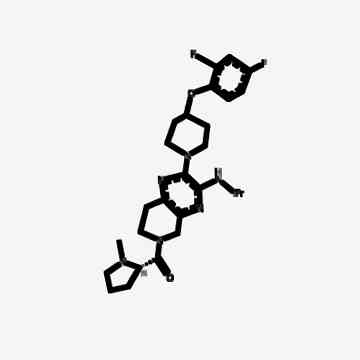 CC(C)Nc1nc2c(nc1N1CCC(Oc3ccc(F)cc3F)CC1)CCN(C(=O)[C@@H]1CCCN1C)C2